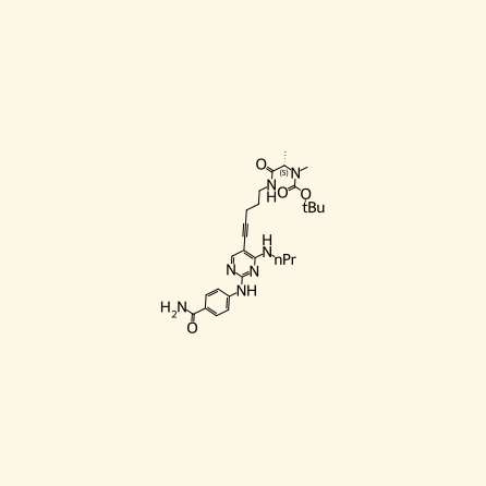 CCCNc1nc(Nc2ccc(C(N)=O)cc2)ncc1C#CCCCNC(=O)[C@H](C)N(C)C(=O)OC(C)(C)C